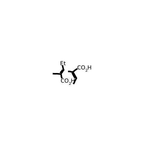 CC=C(C)C(=O)O.CCC=C(C)C(=O)O